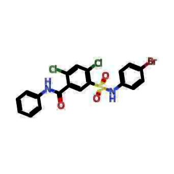 O=C(Nc1ccccc1)c1cc(S(=O)(=O)Nc2ccc(Br)cc2)c(Cl)cc1Cl